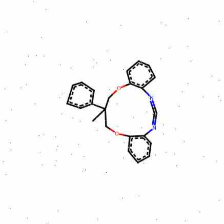 CC1(c2ccccc2)COc2ccccc2N=C=Nc2ccccc2OC1